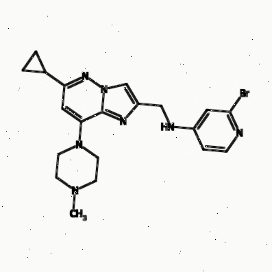 CN1CCN(c2cc(C3CC3)nn3cc(CNc4ccnc(Br)c4)nc23)CC1